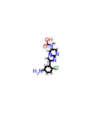 CN(C(=O)O)c1cnc2nc(-c3cc(N)ccc3Cl)cn2c1